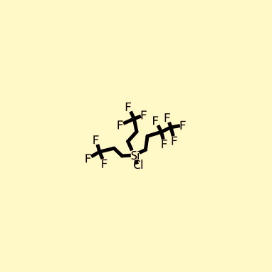 FC(F)(F)CC[Si](Cl)(CCC(F)(F)F)CCC(F)(F)C(F)(F)F